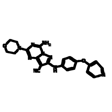 N#Cc1c(Nc2ccc(Oc3ccncc3)cc2)nn2c(N)nc(N3CCOCC3)nc12